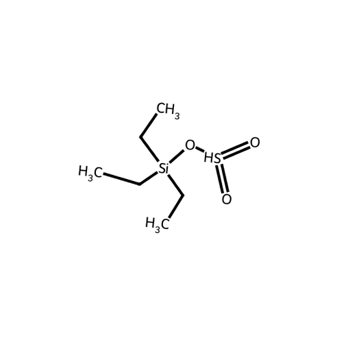 CC[Si](CC)(CC)O[SH](=O)=O